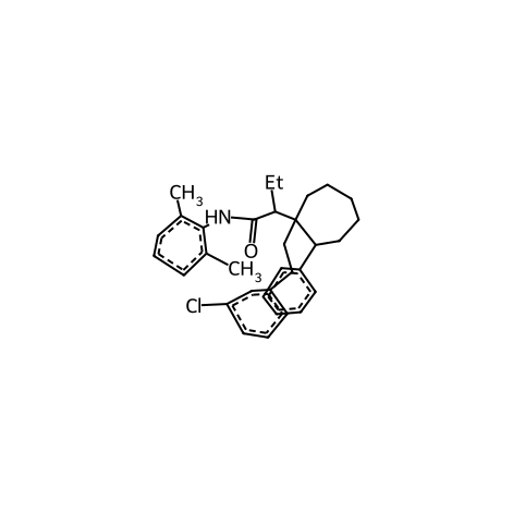 CCC(C(=O)Nc1c(C)cccc1C)C1(CCc2cccc(Cl)c2)CCCCCC1c1ccccc1